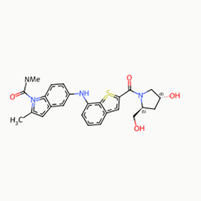 CNC(=O)n1c(C)cc2cc(Nc3cccc4cc(C(=O)N5C[C@H](O)C[C@H]5CO)sc34)ccc21